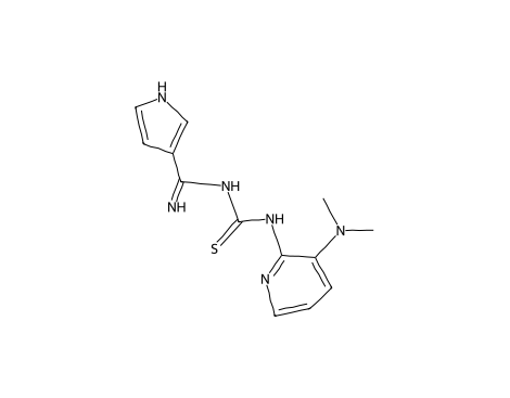 CN(C)c1cccnc1NC(=S)NC(=N)c1cc[nH]c1